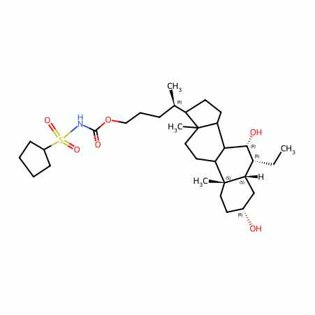 CC[C@H]1[C@@H](O)C2C3CCC([C@H](C)CCCOC(=O)NS(=O)(=O)C4CCCC4)C3(C)CCC2[C@@]2(C)CC[C@@H](O)C[C@@H]12